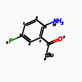 CC(C)(C)C(=O)c1cc(F)ccc1N